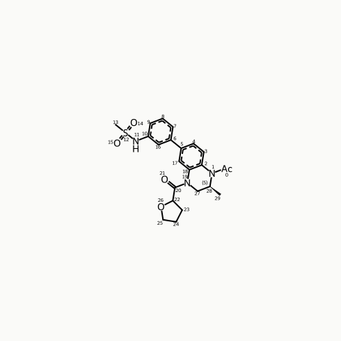 CC(=O)N1c2ccc(-c3cccc(NS(C)(=O)=O)c3)cc2N(C(=O)C2CCCO2)C[C@@H]1C